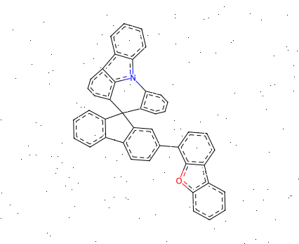 c1ccc2c(c1)-c1ccc(-c3cccc4c3oc3ccccc34)cc1C21c2ccccc2-n2c3ccccc3c3cccc1c32